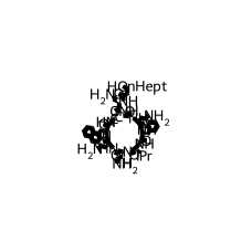 CCCCCCC[C@@H](O)CC(=O)N[C@H](CCN)C(=O)N[C@H]1CCNC(=O)[C@H](Cc2cccc3ccccc23)NC(=O)[C@H](CCN)NC(=O)[C@H](CCN)NC(=O)[C@H](CC(C)C)NC(=O)[C@@H](Cc2ccccc2)NC(=O)[C@H](CCN)NC1=O